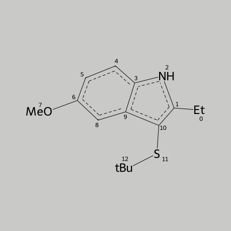 CCc1[nH]c2ccc(OC)cc2c1SC(C)(C)C